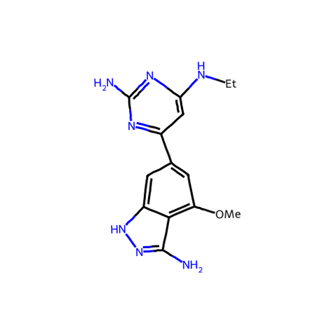 CCNc1cc(-c2cc(OC)c3c(N)n[nH]c3c2)nc(N)n1